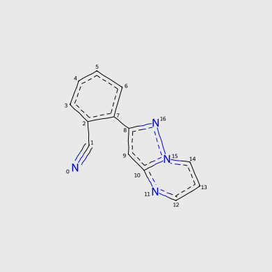 N#Cc1ccccc1-c1cc2ncccn2n1